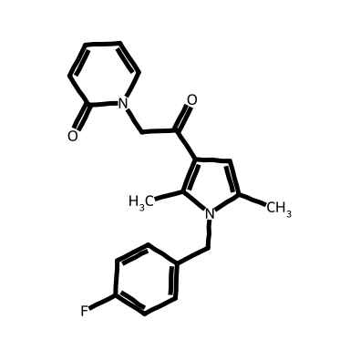 Cc1cc(C(=O)Cn2ccccc2=O)c(C)n1Cc1ccc(F)cc1